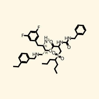 CCCC(CCC)S(=O)(=O)CC(NC(=O)NCc1ccccc1)C(=O)O[C@H](CNCc1cccc(CC)c1)[C@@H](N)Cc1cc(F)cc(F)c1